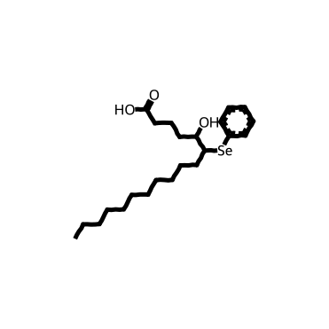 CCCCCCCCCCCC([Se]c1ccccc1)C(O)CCCC(=O)O